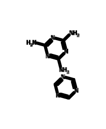 Nc1nc(N)nc(N)n1.c1ncncn1